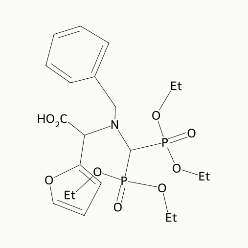 CCOP(=O)(OCC)C(N(Cc1ccccc1)C(C(=O)O)c1ccco1)P(=O)(OCC)OCC